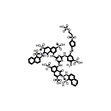 Nc1cc(Nc2nc(Nc3cc(S(=O)(=O)O)cc4c3C(=O)/C(=N\Nc3ccc5ccccc5c3S(=O)(=O)O)C(S(=O)(=O)O)=C4)nc(Nc3cc(S(=O)(=O)O)cc4c3C(=O)/C(=N\Nc3ccc5ccccc5c3S(=O)(=O)O)C(S(=O)(=O)O)=C4)n2)c(/N=N/c2ccc(S(=O)(=O)CCOS(=O)(=O)O)cc2)cc1S(=O)(=O)O